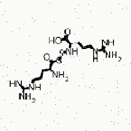 N=C(N)NCCC[C@H](NSSC(=O)[C@@H](N)CCCNC(=N)N)C(=O)O